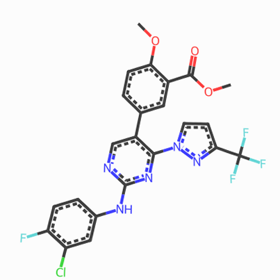 COC(=O)c1cc(-c2cnc(Nc3ccc(F)c(Cl)c3)nc2-n2ccc(C(F)(F)F)n2)ccc1OC